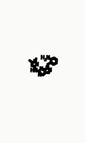 Cc1cc(Nc2ncc3cnn(Cc4ccccc4N)c3n2)nn1C